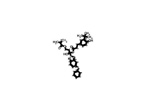 C=C(C)C(=O)OCCC(O)(OC(=O)CCc1ccc(O)c(C(C)(C)C)c1)n1nc2ccc(Sc3ccccc3)cc2n1